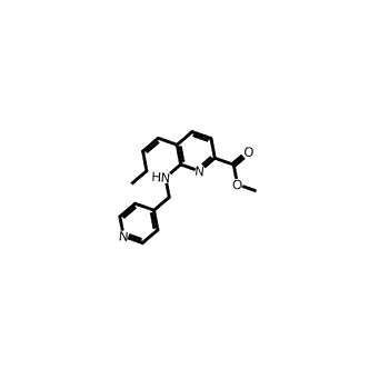 CC/C=C\c1ccc(C(=O)OC)nc1NCc1ccncc1